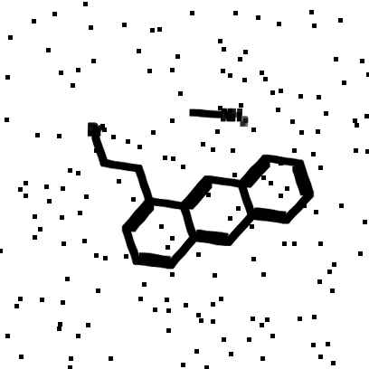 BrCCc1cccc2cc3ccccc3cc12.CN